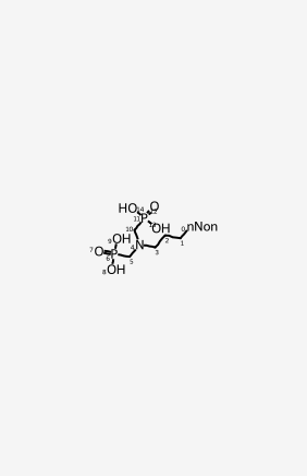 CCCCCCCCCCCCN(CP(=O)(O)O)CP(=O)(O)O